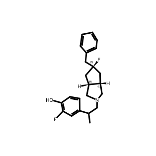 CC(CN1C[C@@H]2C[C@](F)(Cc3ccccc3)C[C@@H]2C1)c1ccc(O)c(F)c1